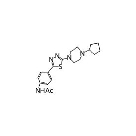 CC(=O)Nc1ccc(-c2nnc(N3CCN(C4CCCC4)CC3)s2)cc1